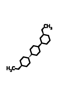 CC[C@H]1CCC[C@@H](C2CCC([C@H]3CC[C@H](CC)CC3)CC2)C1